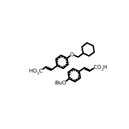 CC(C)COc1ccc(C=CC(=O)O)cc1.O=C(O)C=Cc1ccc(OCC2CCCCC2)cc1